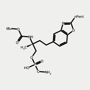 CCCCCc1nc2cc(CC[C@](C)(COP(=O)(O)ON)NC(=O)OC(C)(C)C)ccc2o1